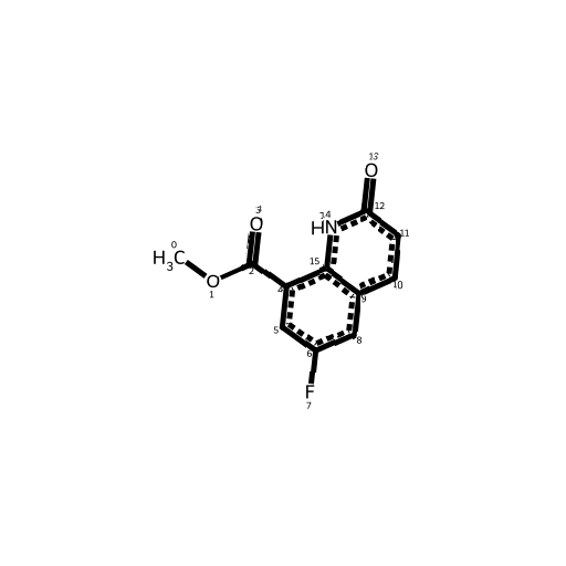 COC(=O)c1cc(F)cc2ccc(=O)[nH]c12